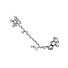 Nc1nc2c(ncn2COCCC(CCCCCCCCOC(=O)CCCC[C@@H]2SC[C@@H]3NC(=O)N[C@@H]32)C(=O)O)c(=O)[nH]1